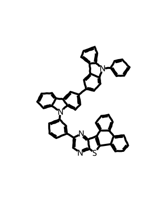 c1ccc(-n2c3ccccc3c3cc(-c4ccc5c(c4)c4ccccc4n5-c4cccc(-c5cnc6sc7c8ccccc8c8ccccc8c7c6n5)c4)ccc32)cc1